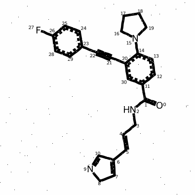 O=C(NC/C=C/C1=CCN=C1)c1ccc(N2CCCC2)c(C#Cc2ccc(F)cc2)c1